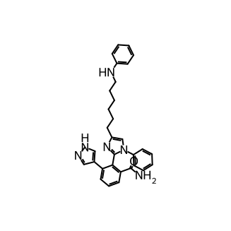 NC(=O)c1cccc(-c2cn[nH]c2)c1-c1nc(CCCCCCNc2ccccc2)cn1-c1ccccc1